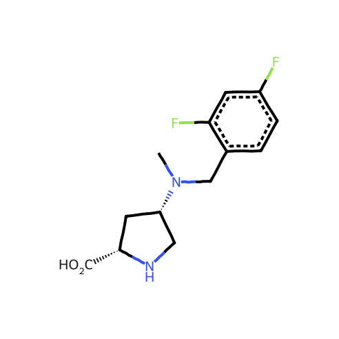 CN(Cc1ccc(F)cc1F)[C@@H]1CN[C@H](C(=O)O)C1